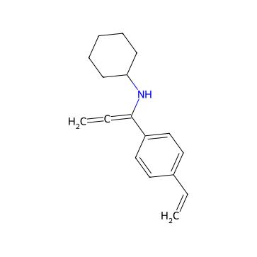 C=C=C(NC1CCCCC1)c1ccc(C=C)cc1